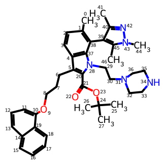 Cc1ccc2c(CCCOc3cccc4ccccc34)c(C(=O)OC(C)(C)C)n(CCN3CCNCC3)c2c1-c1c(C)nn(C)c1C